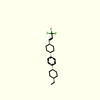 CC[C@H]1CC[C@H](c2ccc([C@H]3CC[C@H](/C=C/C(F)(F)F)CC3)cc2)CC1